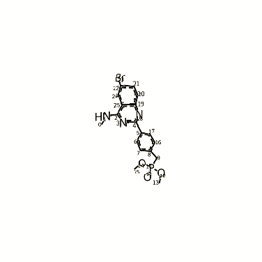 CNc1nc(-c2ccc(CP(=O)(OC)OC)cc2)nc2ccc(Br)cc12